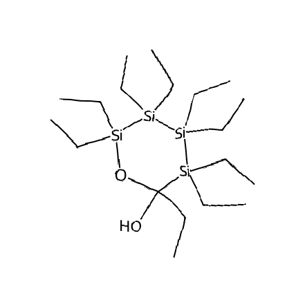 CCC1(O)O[Si](CC)(CC)[Si](CC)(CC)[Si](CC)(CC)[Si]1(CC)CC